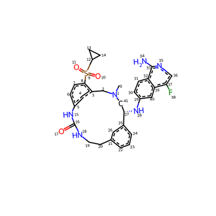 CN1Cc2cc(ccc2S(=O)(=O)C2CC2)NC(=O)NCCc2cccc(c2)[C@@H](Nc2ccc3c(N)ncc(F)c3c2)C1